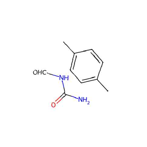 Cc1ccc(C)cc1.NC(=O)NC=O